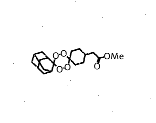 COC(=O)CC1CCC2(CC1)OOC1(OO2)C2CC3CC(C2)CC1C3